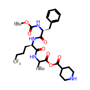 CCCCC(NC(=O)[C@@H](CCCC(F)(F)F)NC(=O)[C@@H](Cc1ccccc1)NC(=O)OC(C)(C)C)C(=O)OC(=O)C1CCNCC1